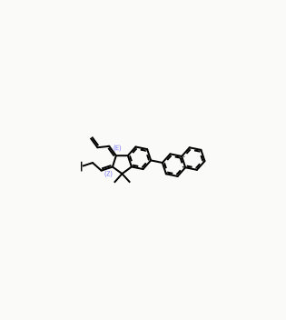 C=C/C=C1\C(=C/CI)C(C)(C)c2cc(-c3ccc4ccccc4c3)ccc21